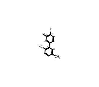 Cc1ccc(C#N)c(-c2ccc(F)c(Cl)c2)c1